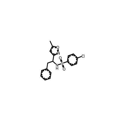 Cc1cc(C(Cc2ccccc2)NS(=O)(=O)c2ccc(Cl)cc2)no1